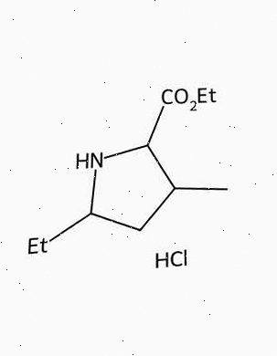 CCOC(=O)C1NC(CC)CC1C.Cl